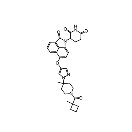 CC1(C(=O)N2CCC(C)(n3cc(Oc4ccc5c6c(cccc46)C(=O)N5C4CCC(=O)NC4=O)cn3)CC2)CCC1